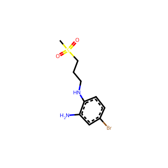 CS(=O)(=O)CCCNc1ccc(Br)cc1N